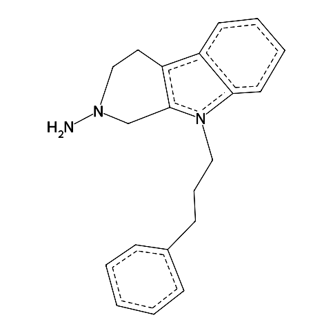 NN1CCc2c(n(CCCc3ccccc3)c3ccccc23)C1